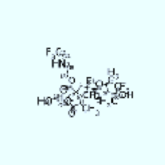 CCC(C)(CC(C)(CC(C)C(=O)OCCO)C(=O)OCCNCC(F)(F)F)C(=O)OC(C)CC(C)(O)C(F)(F)F